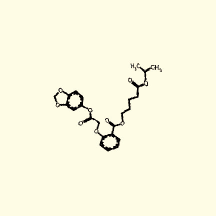 CC(C)OC(=O)CCCCOC(=O)c1ccccc1OCC(=O)Oc1ccc2c(c1)OCO2